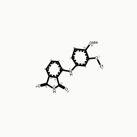 CCOc1cc(Nc2cccc3c2C(=O)NC3=O)ccc1OC